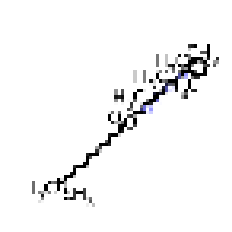 CC1=C(/C=C/C(C)=C/C=C/C(C)=C/COC(=O)CCCCCCCCCCN(C)C)C(C)(C)CCC1